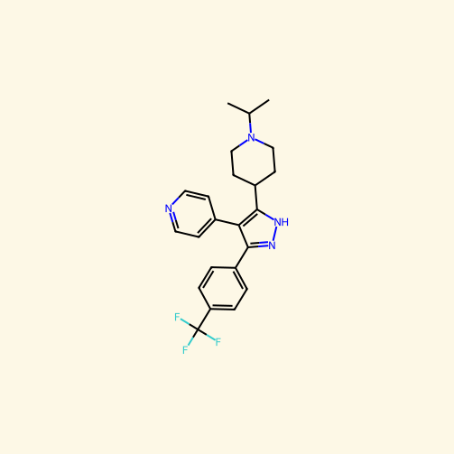 CC(C)N1CCC(c2[nH]nc(-c3ccc(C(F)(F)F)cc3)c2-c2ccncc2)CC1